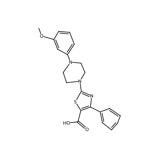 COc1cccc(N2CCN(c3nc(-c4ccccc4)c(C(=O)O)s3)CC2)c1